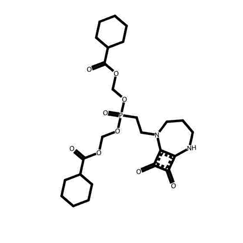 O=C(OCOP(=O)(CCN1CCCNc2c1c(=O)c2=O)OCOC(=O)C1CCCCC1)C1CCCCC1